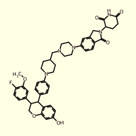 COc1cc(C2COc3cc(O)ccc3C2c2ccc(N3CCC(CN4CCN(c5ccc6c(c5)CN(C5CCC(=O)NC5=O)C6=O)CC4)CC3)cc2)ccc1F